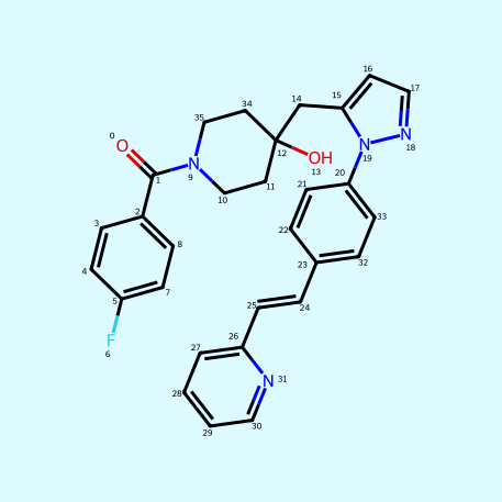 O=C(c1ccc(F)cc1)N1CCC(O)(Cc2ccnn2-c2ccc(C=Cc3ccccn3)cc2)CC1